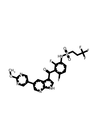 COc1ncc(-c2cnc3[nH]cc(C(=O)c4c(F)ccc(NS(=O)(=O)CCC(F)(F)F)c4F)c3c2)cn1